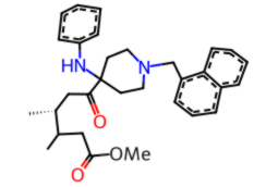 COC(=O)CC(C)[C@H](C)CC(=O)C1(Nc2ccccc2)CCN(Cc2cccc3ccccc23)CC1